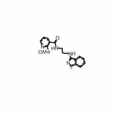 COc1ncccc1C(=O)NCCNc1nsc2ccccc12